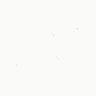 Bc1nc2ccc(F)cc2nc1C